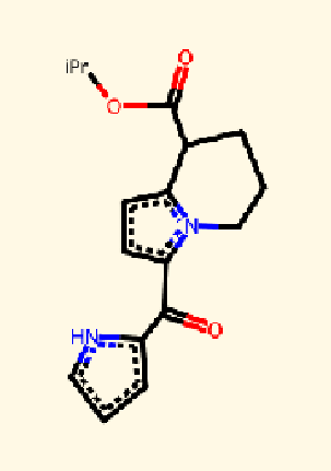 CC(C)OC(=O)C1CCCn2c(C(=O)c3ccc[nH]3)ccc21